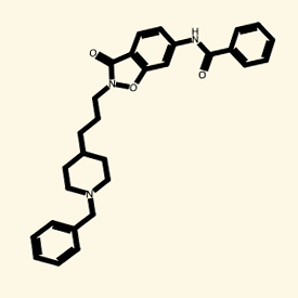 O=C(Nc1ccc2c(=O)n(CCCC3CCN(Cc4ccccc4)CC3)oc2c1)c1ccccc1